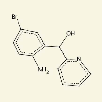 Nc1ccc(Br)cc1C(O)c1ccccn1